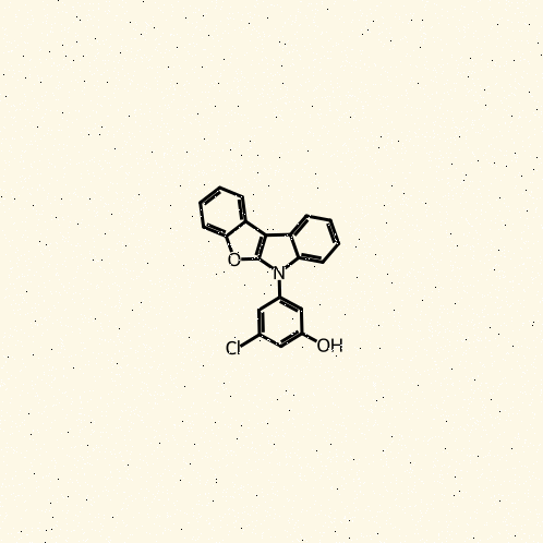 Oc1cc(Cl)cc(-n2c3ccccc3c3c4ccccc4oc32)c1